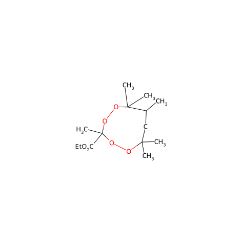 CCOC(=O)C1(C)OOC(C)(C)CC(C)C(C)(C)OO1